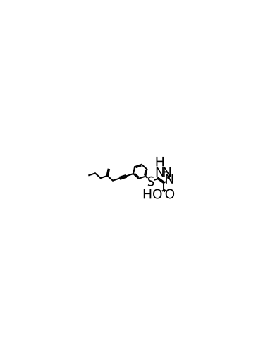 C=C(CC#Cc1cccc(Sc2[nH]nnc2C(=O)O)c1)CCC